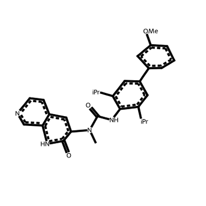 COc1cccc(-c2cc(C(C)C)c(NC(=O)N(C)c3cc4ccncc4[nH]c3=O)c(C(C)C)c2)c1